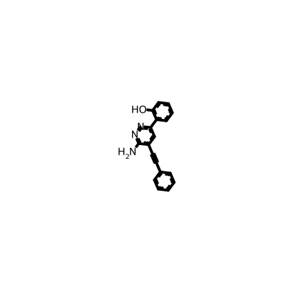 Nc1nnc(-c2ccccc2O)cc1C#Cc1ccccc1